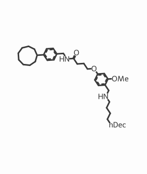 CCCCCCCCCCCCCCNCc1ccc(OCCCC(=O)NCc2ccc(C3CCCCCCCC3)cc2)cc1OC